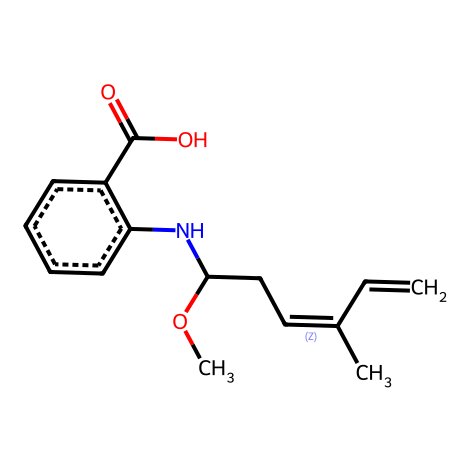 C=C/C(C)=C\CC(Nc1ccccc1C(=O)O)OC